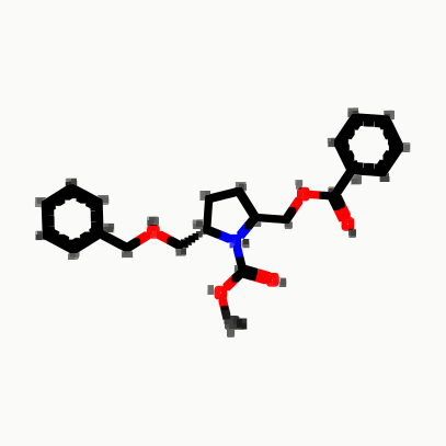 CC(C)(C)OC(=O)N1C(COC(=O)c2ccccc2)CC[C@H]1COCc1ccccc1